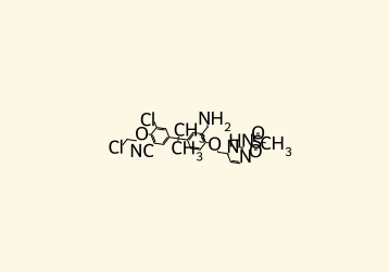 CC(C)(c1cc(Cl)c(OCCCl)c(C#N)c1)c1ccc(OCc2ccnc(NS(C)(=O)=O)n2)c(CN)c1